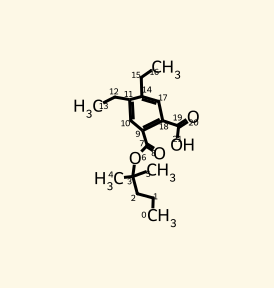 CCCC(C)(C)OC(=O)c1cc(CC)c(CC)cc1C(=O)O